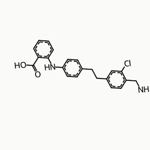 NCc1ccc(CCc2ccc(Nc3ccccc3C(=O)O)cc2)cc1Cl